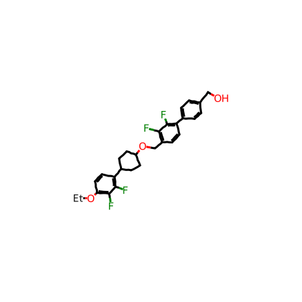 CCOc1ccc(C2CCC(OCc3ccc(-c4ccc(CO)cc4)c(F)c3F)CC2)c(F)c1F